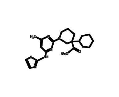 COC(=O)C1(C2CCCCC2)CCCN(c2nc(C)cc(Nc3nccs3)n2)C1